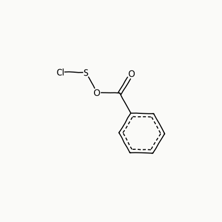 O=C(OSCl)c1ccccc1